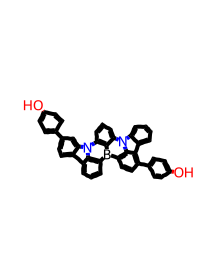 Oc1ccc(-c2ccc3c4cccc5c4n(c3c2)-c2cccc3c2B5c2ccc(-c4ccc(O)cc4)c4c5ccccc5n-3c24)cc1